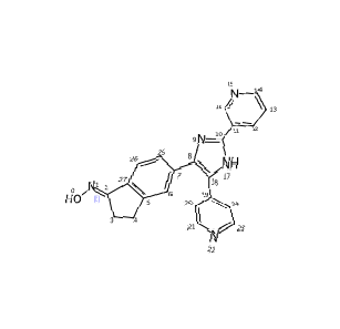 O/N=C1\CCc2cc(-c3nc(-c4cccnc4)[nH]c3-c3ccncc3)ccc21